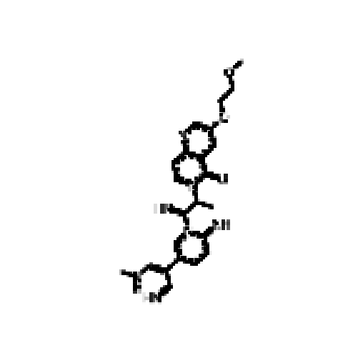 CN/C=C(\C=N)c1ccc(=N)n(C(=N)C(C)n2ccc3ncc(OCCOC)cc3c2=O)c1